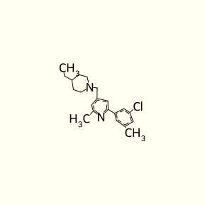 CCC1CCN(Cc2cc(C)nc(-c3cc(C)cc(Cl)c3)c2)CC1